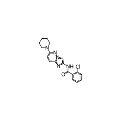 O=C(Nc1cn2nc(N3CCCCC3)ccc2n1)c1ccccc1Cl